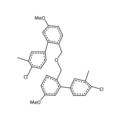 COc1ccc(COCc2ccc(OC)cc2-c2ccc(Cl)c(C)c2)c(-c2ccc(Cl)c(C)c2)c1